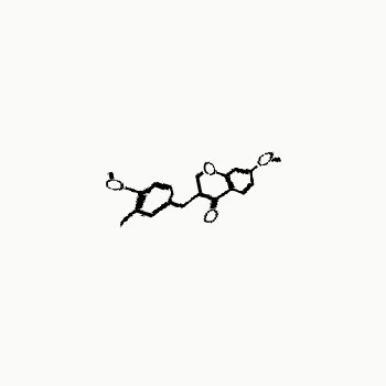 COc1ccc2c(c1)OCC(Cc1ccc(OC)c(C)c1)C2=O